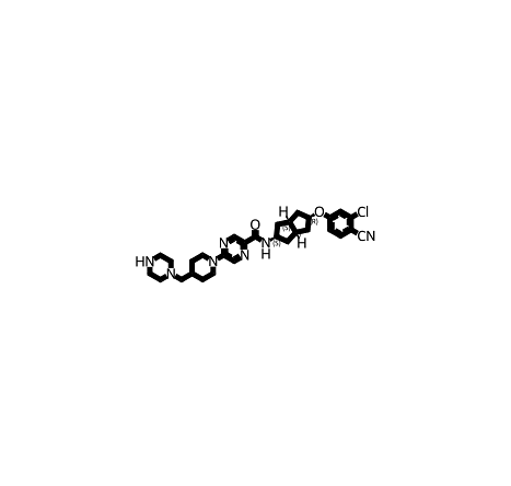 N#Cc1ccc(O[C@H]2C[C@H]3C[C@@H](NC(=O)c4cnc(N5CCC(CN6CCNCC6)CC5)cn4)C[C@H]3C2)cc1Cl